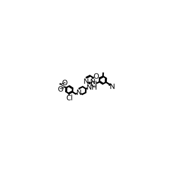 Cc1cc(C#N)cc(Cl)c1Oc1ccnc(NC2CCN(Cc3ccc(S(C)(=O)=O)cc3Cl)CC2)n1